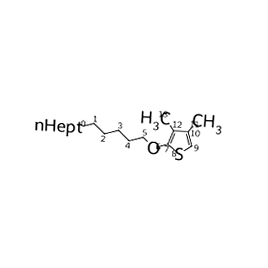 CCCCCCCCCCCCOc1scc(C)c1C